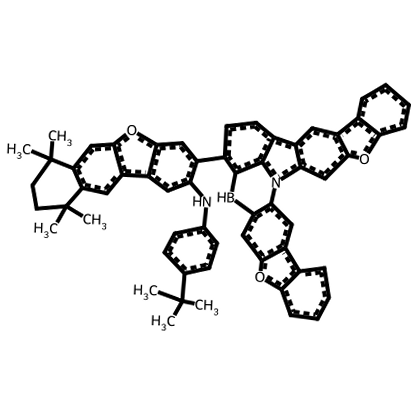 CC(C)(C)c1ccc(Nc2cc3c(cc2-c2ccc4c5cc6c(cc5n5c4c2Bc2cc4oc7ccccc7c4cc2-5)oc2ccccc26)oc2cc4c(cc23)C(C)(C)CCC4(C)C)cc1